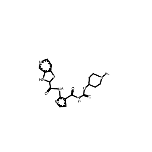 CC(=O)N1CCC(OC(=O)NC(=O)c2ccsc2NC(=O)C2Nc3cnccc3S2)CC1